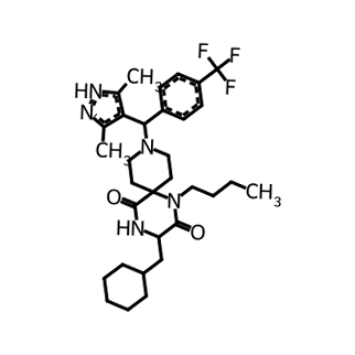 CCCCN1C(=O)C(CC2CCCCC2)NC(=O)C12CCN(C(c1ccc(C(F)(F)F)cc1)c1c(C)n[nH]c1C)CC2